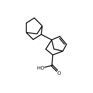 O=C(O)C1CC2(C3CC4CCC3C4)C=CC1C2